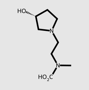 CN(CCN1CC[C@@H](O)C1)C(=O)O